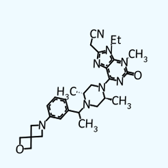 CCn1c(CC#N)nc2c(N3C[C@@H](C)N(C(C)c4cccc(N5CC6(COC6)C5)c4)C[C@@H]3C)nc(=O)n(C)c21